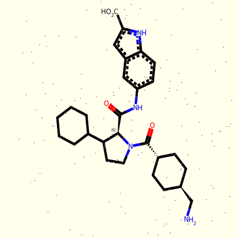 NC[C@H]1CC[C@H](C(=O)N2CCC(C3CCCCC3)[C@H]2C(=O)Nc2ccc3[nH]c(C(=O)O)cc3c2)CC1